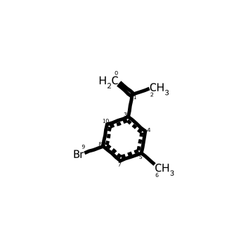 C=C(C)c1cc(C)cc(Br)c1